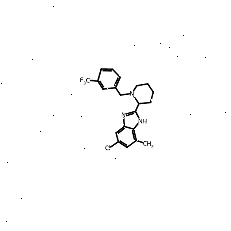 Cc1cc(Cl)cc2nc(C3CCCCN3Cc3cccc(C(F)(F)F)c3)[nH]c12